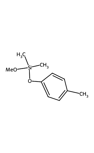 CO[Si](C)(C)Oc1ccc(C)cc1